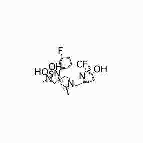 C[C@H]1C[C@]2(CCN1Cc1ccc(O)c(C(F)(F)F)n1)CN(C)S(O)(O)N2c1cccc(F)c1